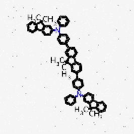 CC1(C)c2cc(-c3ccc(N(c4ccccc4)c4ccc5c(c4)C(C)(C)c4ccccc4-5)cc3)ccc2-c2ccc(-c3ccc(N(c4ccccc4)c4ccc5c(c4)C(C)(C)c4ccccc4-5)cc3)cc21